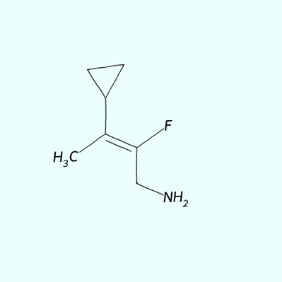 CC(=C(F)CN)C1CC1